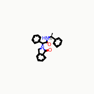 C[C@H](NC(=O)C(c1ccccc1)N1Cc2ccccc2C1=O)c1ccccc1